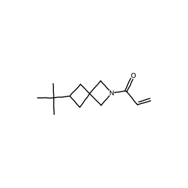 C=CC(=O)N1CC2(CC(C(C)(C)C)C2)C1